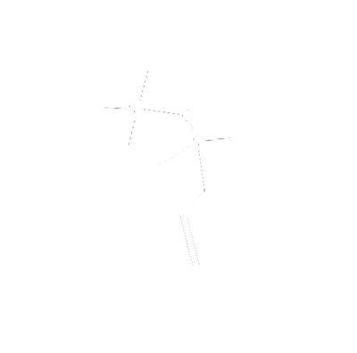 C=CC[Si](C)(C)O[Si](C)(C)C